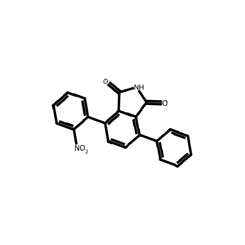 O=C1NC(=O)c2c(-c3ccccc3[N+](=O)[O-])ccc(-c3ccccc3)c21